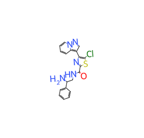 NC(CNC(=O)c1nc(-c2cnn3ccccc23)c(Cl)s1)c1ccccc1